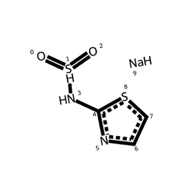 O=[SH](=O)Nc1nccs1.[NaH]